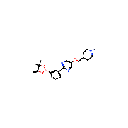 C=C1OB(c2cccc(-c3ncc(OCC4CCN(C)CC4)cn3)c2)OC1(C)C